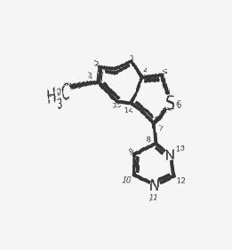 Cc1ccc2csc(-c3ccncn3)c2c1